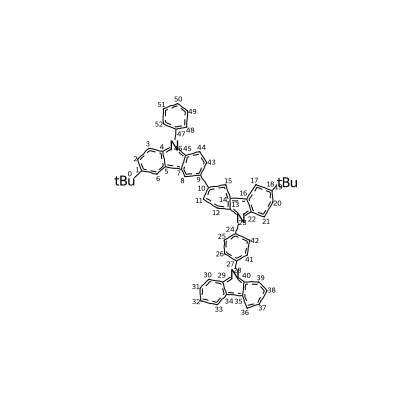 CC(C)(C)c1ccc2c(c1)c1cc(-c3ccc4c(c3)c3cc(C(C)(C)C)ccc3n4-c3ccc(-n4c5ccccc5c5ccccc54)cc3)ccc1n2-c1ccccc1